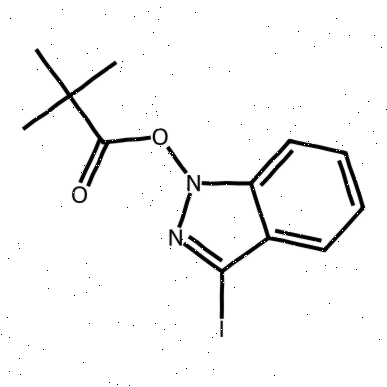 CC(C)(C)C(=O)On1nc(I)c2ccccc21